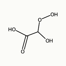 O=C(O)C(O)OO